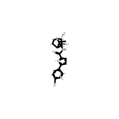 C[C@H]1[C@H](NC(=O)c2ccc(-c3ccc(Cl)nc3)o2)C2CCN1CC2